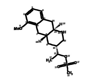 COc1cccc2c1C[C@H]1C[C@@H](C(C)OS(C)(=O)=O)CN[C@@H]1C2